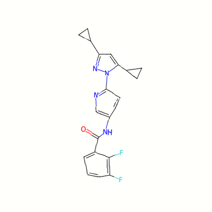 O=C(Nc1ccc(-n2nc(C3CC3)cc2C2CC2)nc1)c1cccc(F)c1F